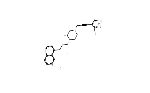 COc1ccc2nccc([C@@H](O)CC[C@@H]3CCN(CC#Cc4c[nH]nc4C)C[C@@H]3C(=O)O)c2c1